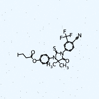 CC1(C)C(=O)N(c2ccc(C#N)c(C(F)(F)F)c2)C(=S)N1c1ccc(OC(=O)CCI)cc1